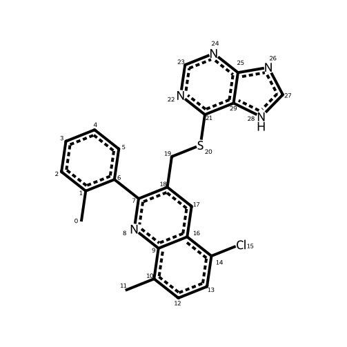 Cc1ccccc1-c1nc2c(C)ccc(Cl)c2cc1CSc1ncnc2nc[nH]c12